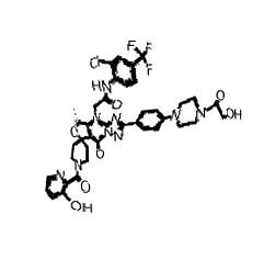 C[C@H]1OC2(CCN(C(=O)c3ncccc3O)CC2)c2c1n(CC(=O)Nc1ccc(C(F)(F)F)cc1Cl)c1nc(-c3ccc(N4CCN(C(=O)CO)CC4)cc3)nn1c2=O